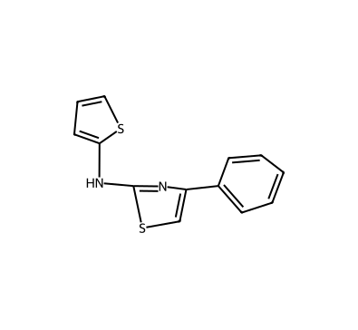 c1ccc(-c2csc(Nc3cccs3)n2)cc1